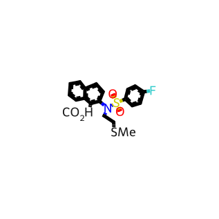 CSCCN(c1ccc2ccccc2c1C(=O)O)S(=O)(=O)c1ccc(F)cc1